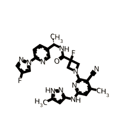 Cc1cc(Nc2cc(C)c(C#N)c(N3CC(F)(C(=O)N[C@@H](C)c4ccc(-n5cc(F)cn5)nc4)C3)n2)n[nH]1